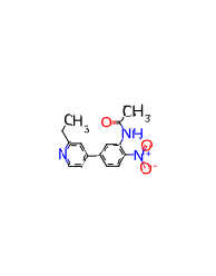 CCc1cc(-c2ccc([N+](=O)[O-])c(NC(C)=O)c2)ccn1